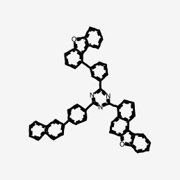 c1cc(-c2nc(-c3ccc(-c4ccc5ccccc5c4)cc3)nc(-c3cccc4c3ccc3oc5ccccc5c34)n2)cc(-c2cccc3oc4ccccc4c23)c1